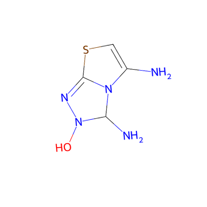 NC1=CSC2=NN(O)C(N)N12